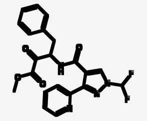 COC(=O)C(=O)C(Cc1ccccc1)NC(=O)c1cn(C(F)F)nc1-c1ccccn1